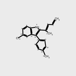 C=C/C=C(\C)c1[nH]c2ccc(Cl)cc2c1-c1ccc(C)cc1